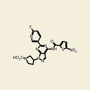 O=C(Nc1nc(-c2ccc(F)nc2)nc2c1cnn2C1CCN(C(=O)O)C1)c1ccc([N+](=O)[O-])s1